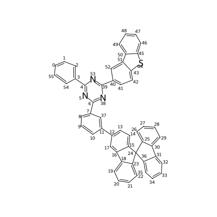 c1ccc(-c2nc(-c3cccc(-c4ccc5c(c4)-c4ccccc4C54c5ccccc5-c5ccccc54)c3)nc(-c3ccc4sc5ccccc5c4c3)n2)cc1